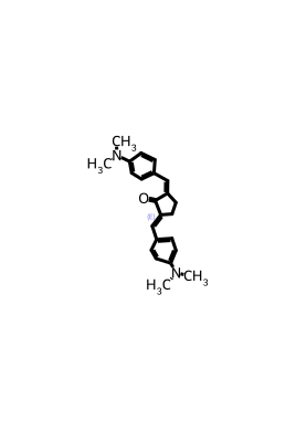 CN(C)c1ccc(C=C2CC/C(=C\c3ccc(N(C)C)cc3)C2=O)cc1